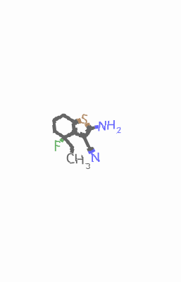 CCC1(F)CCCc2sc(N)c(C#N)c21